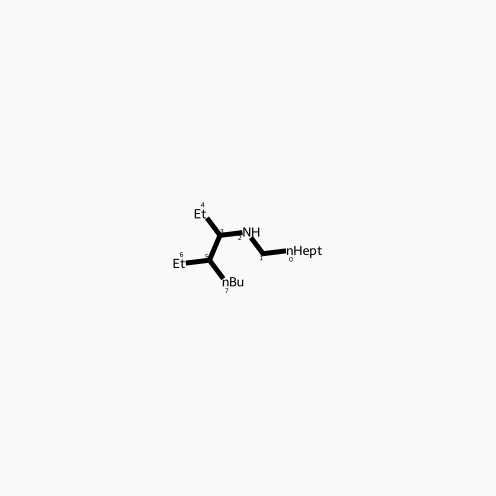 CCCCCCCCNC(CC)C(CC)CCCC